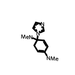 CNC1=CCC(NC)(n2ccnc2)C=C1